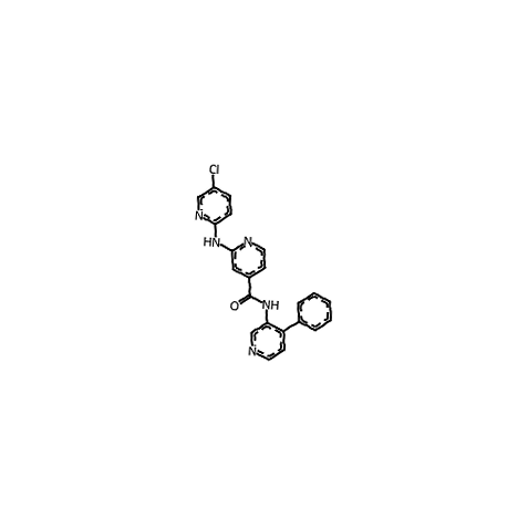 O=C(Nc1cnccc1-c1ccccc1)c1ccnc(Nc2ccc(Cl)cn2)c1